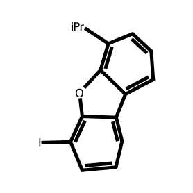 CC(C)c1cccc2c1oc1c(I)cccc12